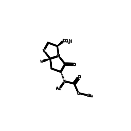 CC(=O)N(C(=O)OC(C)(C)C)[C@@H]1C[C@@H]2SC[C@@H](C(=O)O)N2C1=O